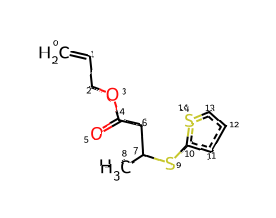 C=CCOC(=O)CC(C)Sc1cccs1